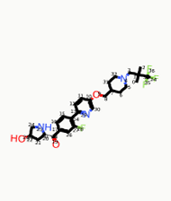 CC(C)(CN1CCC(COc2ccc(-c3ccc(C(=O)[C@@H]4C[C@@H](O)CN4)cc3F)nc2)CC1)C(F)(F)F